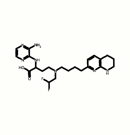 Nc1nccnc1NC(CCN(CCCCc1ccc2c(n1)NCCC2)CC(F)F)C(=O)O